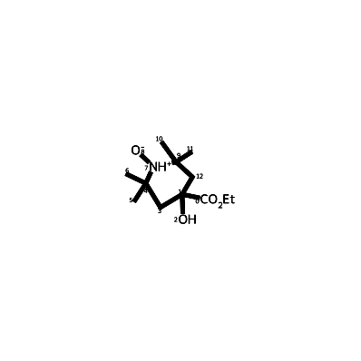 CCOC(=O)C1(O)CC(C)(C)[NH+]([O-])C(C)(C)C1